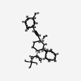 CC(C)(C)OC(=O)[C@@H]1CC[C@@](F)(C#Cc2cc(F)ccn2)C[C@H]1c1ccccc1